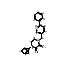 O=C1C(=O)N(C2CC3CC2C3)CCN1Cc1ccc(-c2ccccc2)nn1